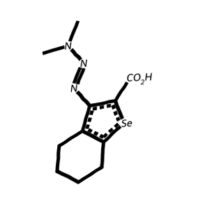 CN(C)N=Nc1c(C(=O)O)[se]c2c1CCCC2